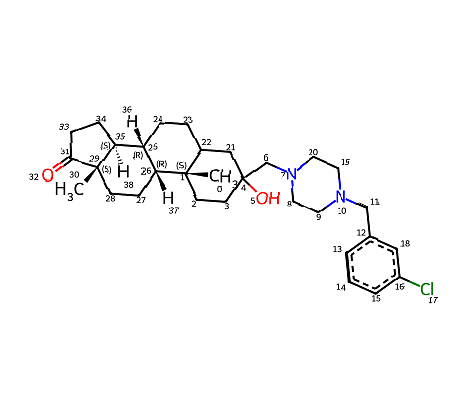 C[C@]12CCC(O)(CN3CCN(Cc4cccc(Cl)c4)CC3)CC1CC[C@@H]1[C@H]2CC[C@]2(C)C(=O)CC[C@@H]12